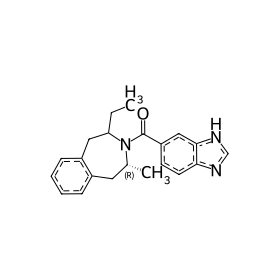 CCC1Cc2ccccc2C[C@@H](C)N1C(=O)c1ccc2nc[nH]c2c1